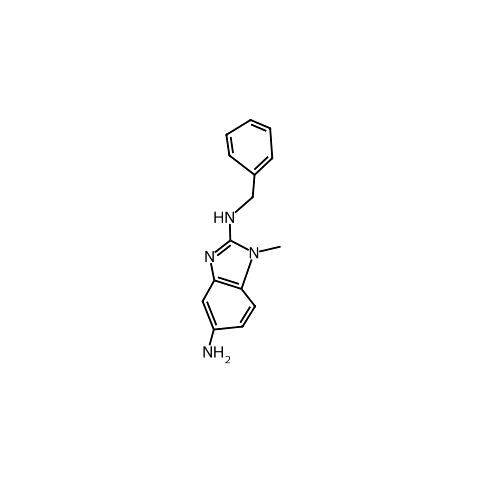 Cn1c(NCc2ccccc2)nc2cc(N)ccc21